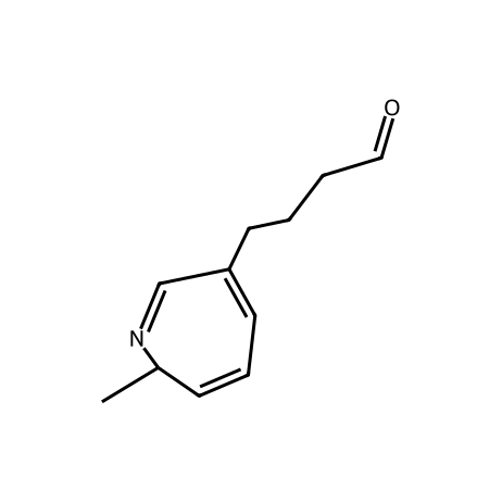 CC1C=CC=C(CCCC=O)C=N1